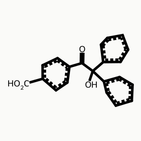 O=C(O)c1ccc(C(=O)C(O)(c2ccccc2)c2ccccc2)cc1